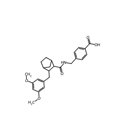 COc1cc(CC2C3CCC(C3)C2C(=O)NCc2ccc(C(=O)O)cc2)cc(OC)c1